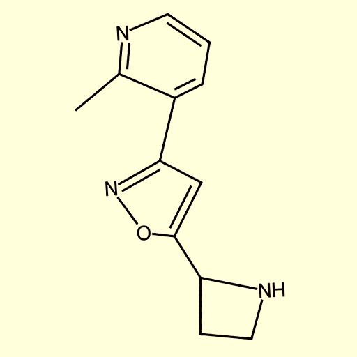 Cc1ncccc1-c1cc(C2CCN2)on1